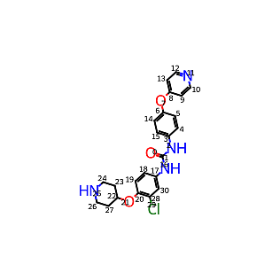 O=C(Nc1ccc(Oc2ccncc2)cc1)Nc1ccc(OC2CCNCC2)c(Cl)c1